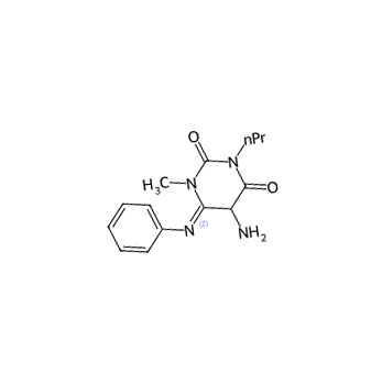 CCCN1C(=O)C(N)/C(=N/c2ccccc2)N(C)C1=O